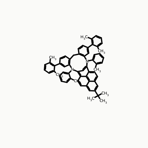 Cc1ccccc1N1c2cc(-c3c(C)cccc3C)ccc2Cc2ccc(-c3c(C)cccc3C)cc2N(c2ccccc2C)c2cc1c1ccc3cc(C(C)(C)C)cc4ccc2c1c34